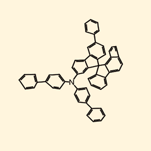 c1ccc(-c2ccc(N(c3ccc(-c4ccccc4)cc3)c3ccc4c(c3)C3(c5ccc(-c6ccccc6)cc5-4)c4ccccc4-c4ccc5ccccc5c43)cc2)cc1